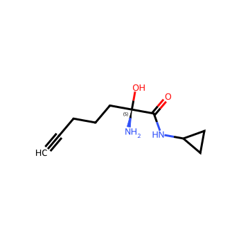 C#CCCC[C@](N)(O)C(=O)NC1CC1